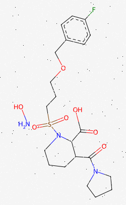 NO.O=C(O)C1C(C(=O)N2CCCC2)CCCN1S(=O)(=O)CCCOCc1ccc(F)cc1